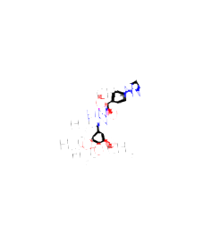 COc1cc(/C(C)=N/NC(=O)C(OC)c2ccc(-n3cccn3)cc2)cc(OC)c1OC